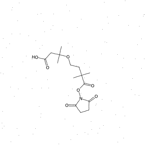 CC(C)(CC(=O)O)OCCC(C)(C)C(=O)ON1C(=O)CCC1=O